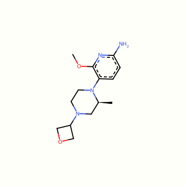 COc1nc(N)ccc1N1CCN(C2COC2)C[C@@H]1C